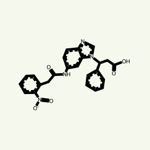 O=C(O)CC(c1ccccc1)n1cnc2ccc(NC(=O)Cc3ccccc3[N+](=O)[O-])cc21